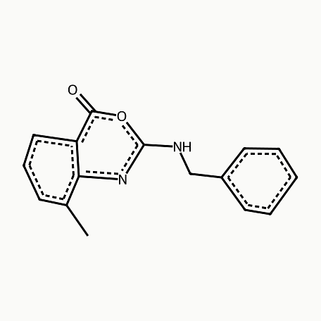 Cc1cccc2c(=O)oc(NCc3ccccc3)nc12